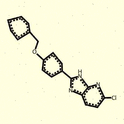 Clc1ccc2nc(-c3ccc(OCc4ccccc4)cc3)[nH]c2n1